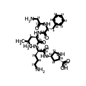 CC(C)C[C@@H](NC(=O)[C@@H](Cc1ccccc1)NC(=O)CN)C(=O)N[C@H](CCCN)C(=O)N[C@@H]1CN[C@H](C(=O)O)C1